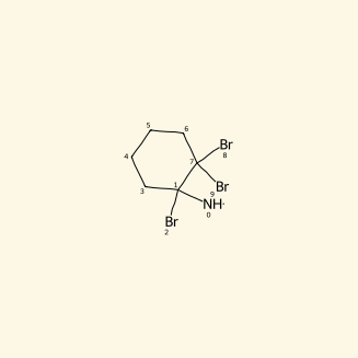 [NH]C1(Br)CCCCC1(Br)Br